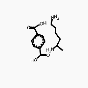 CC(N)CCCCN.O=C(O)c1ccc(C(=O)O)cc1